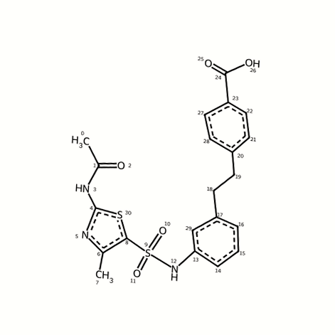 CC(=O)Nc1nc(C)c(S(=O)(=O)Nc2cccc(CCc3ccc(C(=O)O)cc3)c2)s1